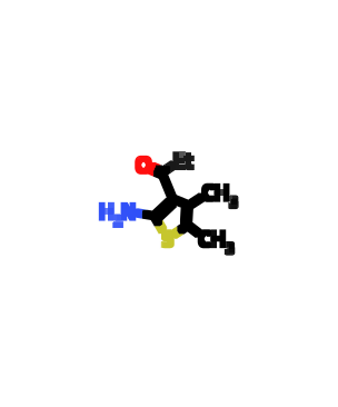 CCC(=O)c1c(N)sc(C)c1C